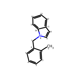 Cc1ccccc1Cn1ccc2ccccc21